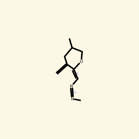 C=C1CC(C)CO/C1=C/N=N\C